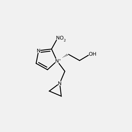 O=[N+]([O-])C1=NC=C[N@+]1(CCO)CN1CC1